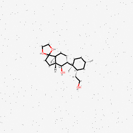 C[C@H]1CC[C@](C)([C@H]2CC[C@@]3(C)[C@@H](CCC34OCCO4)[C@@H]2O)[C@@H](CCO)C1